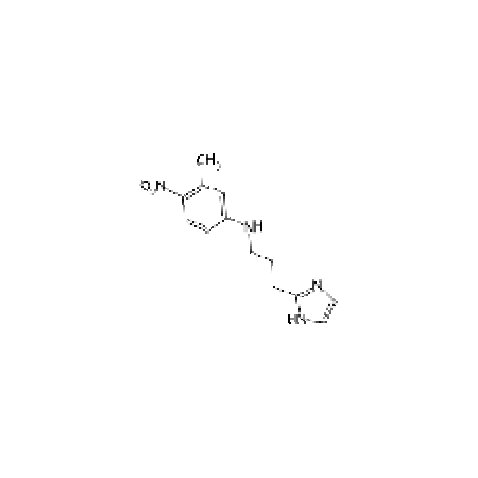 Cc1cc(NCCCc2ncc[nH]2)ccc1[N+](=O)[O-]